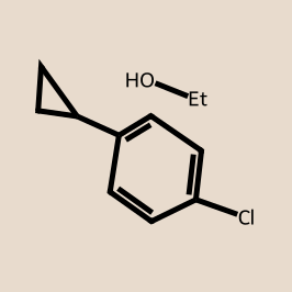 CCO.Clc1ccc(C2CC2)cc1